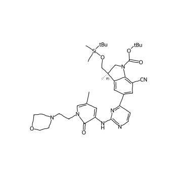 Cc1cc(Nc2nccc(-c3cc(C#N)c4c(c3)[C@@](C)(CO[Si](C)(C)C(C)(C)C)CN4C(=O)OC(C)(C)C)n2)c(=O)n(CCN2CCOCC2)c1